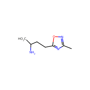 Cc1noc(CCC(N)C(=O)O)n1